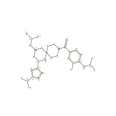 Cc1cc(C(=O)N2CCC3(CC2)CN(CC(F)F)CC(c2ncc(C(C)C)o2)O3)ccc1OC(C)C